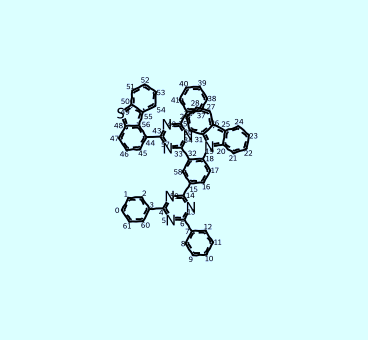 c1ccc(-c2nc(-c3ccccc3)nc(-c3ccc(-n4c5ccccc5c5ccccc54)c(-c4nc(-c5ccccc5)nc(-c5cccc6sc7ccccc7c56)n4)c3)n2)cc1